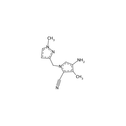 Cc1c(N)cn(Cc2ccn(C)n2)c1C#N